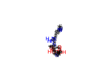 CC[C@H]1OC(=O)[C@H](C)CC[C@@H](O[C@H]2C[C@@H](N(C)CC/C(=C/N(N)CCCCc3ccc(-n4cc(C(C)(C)C)nn4)cc3)NC)C[C@@H](C)O2)[C@H](O)C2O[C@H]([C@@H](C)N(C)C[C@@H]2C)[C@]1(C)O